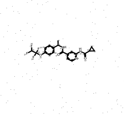 CC(NC(=O)c1ccnc(NC(=O)C2CC2)c1)c1ccc(OC(F)(F)C(F)F)cc1